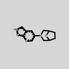 c1nc2n[nH]cc2cc1N1CC2CCC(C1)O2